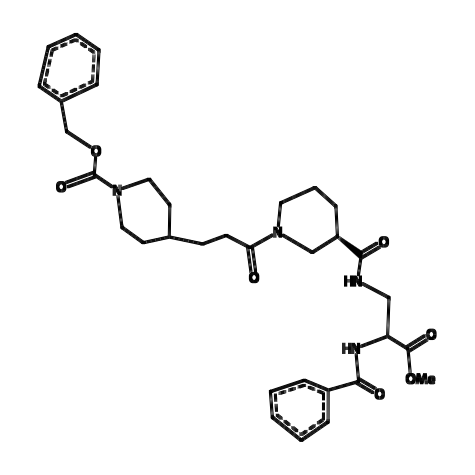 COC(=O)C(CNC(=O)[C@@H]1CCCN(C(=O)CCC2CCN(C(=O)OCc3ccccc3)CC2)C1)NC(=O)c1ccccc1